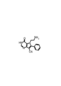 N#Cc1c(-c2ccccc2)n(CCN)c2c(=O)[nH]cnc12